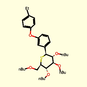 CCCCOC[C@H]1S[C@@H](c2cccc(Oc3ccc(CC)cc3)c2)[C@H](OCCCC)[C@@H](OCCCC)[C@@H]1OCCCC